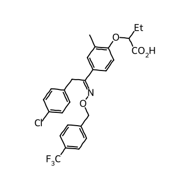 CCC(Oc1ccc(C(Cc2ccc(Cl)cc2)=NOCc2ccc(C(F)(F)F)cc2)cc1C)C(=O)O